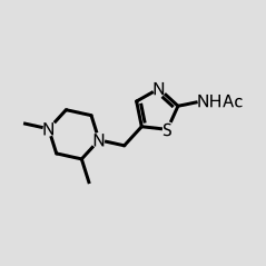 CC(=O)Nc1ncc(CN2CCN(C)CC2C)s1